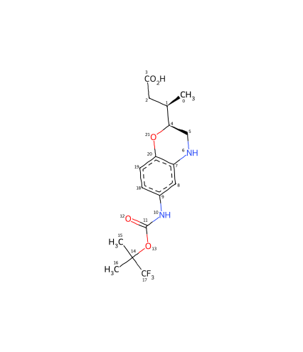 C[C@H](CC(=O)O)[C@H]1CNc2cc(NC(=O)OC(C)(C)C(F)(F)F)ccc2O1